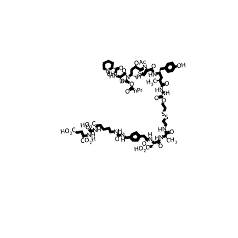 CCCC(=O)OCN(C(=O)[C@@H](NC(=O)[C@H]1CCCCN1C)C(C)CC)[C@H](C[C@@H](OC(C)=O)c1nc(C(=O)N[C@@H](Cc2ccc(O)cc2)C[C@H](C)C(=O)NNC(=O)OCCSSCCNC(=O)[C@H](C)NC(=O)[C@H](CC(=O)O)NC(=O)Cc2ccc(CNC(=O)NCCCC[C@H](NC(=O)N[C@@H](CCC(=O)O)C(=O)O)C(=O)O)cc2)cs1)C(C)C